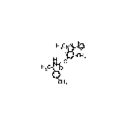 Cc1ccc(C(C)NC(=O)COc2cc(C)c3c(-c4nccs4)nn(C)c3n2)cc1